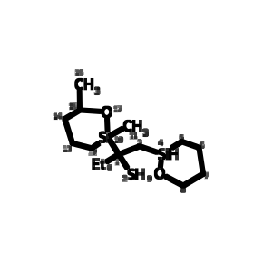 CCC(S)(C[SiH]1CCCCO1)[Si]1(C)CCCC(C)O1